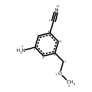 COCc1cc(N)cc(C#N)c1